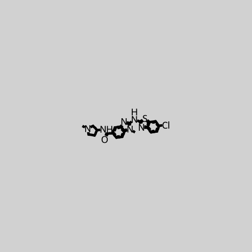 CN1CCC(NC(=O)c2ccc3c(c2)nc(Nc2nc4ccc(Cl)cc4s2)n3C)C1